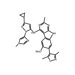 COc1cc2c(cc1-c1c(C)noc1C)[nH]c1nc(C)nc(Nc3cc(C4CC4)nn3-c3cn(C)cn3)c12